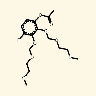 COCCOCOc1c(F)ccc(OC(C)=O)c1OCOCCOC